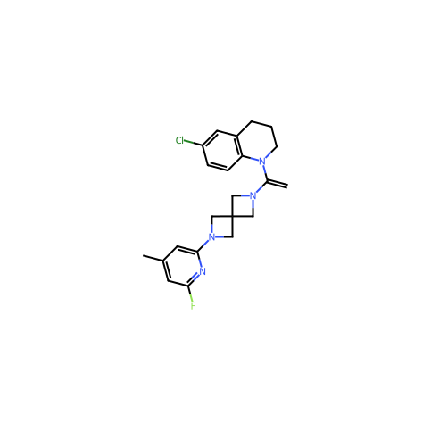 C=C(N1CC2(C1)CN(c1cc(C)cc(F)n1)C2)N1CCCc2cc(Cl)ccc21